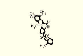 COc1cc(OC)c(C=C2Sc3ccc(S(=O)(=O)Cc4c(C)cccc4C)cc3NC2=O)c(OC)c1